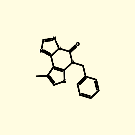 Cc1csc2c1c1ncnn1c(=O)n2Cc1ccccc1